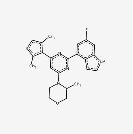 Cc1cnn(C)c1-c1cc(N2CCOCC2C)nc(-c2cc(F)cc3[nH]ccc23)n1